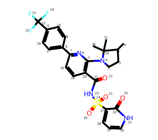 CC1CCN(c2nc(-c3ccc(C(F)(F)F)cc3)ccc2C(=O)NS(=O)(=O)c2ccc[nH]c2=O)C1(C)C